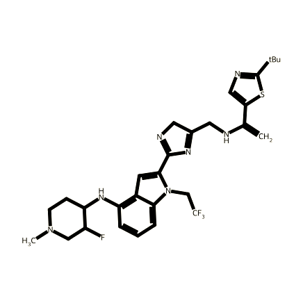 C=C(NCC1=NC(c2cc3c(NC4CCN(C)CC4F)cccc3n2CC(F)(F)F)=NC1)c1cnc(C(C)(C)C)s1